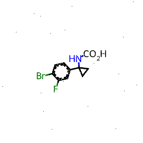 O=C(O)NC1(c2ccc(Br)c(F)c2)CC1